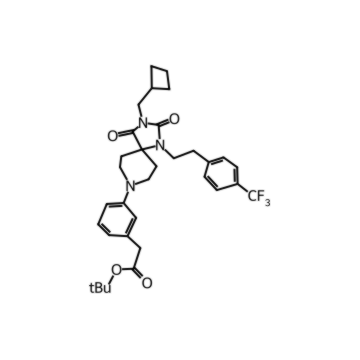 CC(C)(C)OC(=O)Cc1cccc(N2CCC3(CC2)C(=O)N(CC2CCC2)C(=O)N3CCc2ccc(C(F)(F)F)cc2)c1